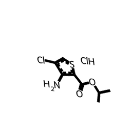 CC(C)OC(=O)c1scc(Cl)c1N.Cl